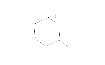 O.[Li][CH]1COCCO1